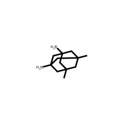 BC12CC3(C)CC(C)(C1)CC(N)(C2)C3